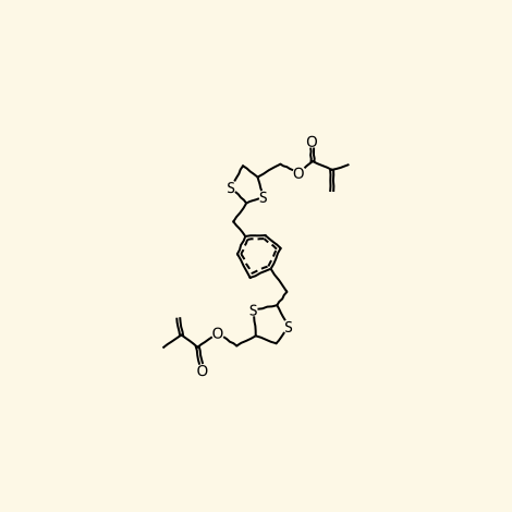 C=C(C)C(=O)OCC1CSC(Cc2ccc(CC3SCC(COC(=O)C(=C)C)S3)cc2)S1